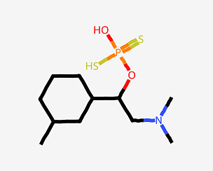 CC1CCCC(C(CN(C)C)OP(O)(=S)S)C1